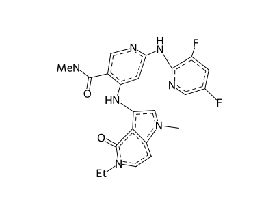 CCn1ccc2c(c(Nc3cc(Nc4ncc(F)cc4F)ncc3C(=O)NC)cn2C)c1=O